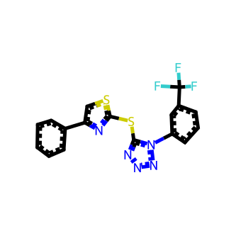 FC(F)(F)c1cccc(-n2nnnc2Sc2nc(-c3ccccc3)cs2)c1